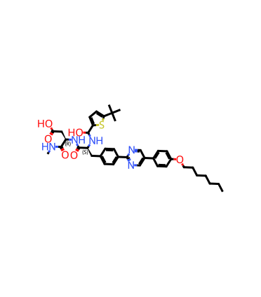 CCCCCCCOc1ccc(-c2cnc(-c3ccc(C[C@H](NC(O)c4ccc(C(C)(C)C)s4)C(=O)N[C@H](CC(=O)O)C(=O)NC)cc3)nc2)cc1